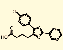 O=C(O)CCCc1oc(-c2ccccc2)nc1-c1ccc(Cl)cc1